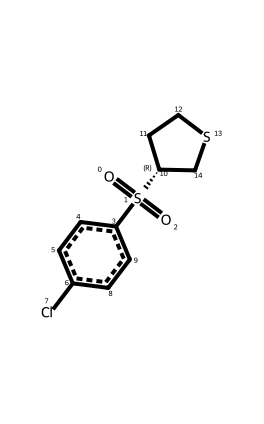 O=S(=O)(c1ccc(Cl)cc1)[C@@H]1CCSC1